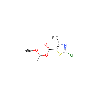 CCCCOC(C)OC(=O)c1sc(Cl)nc1C(F)(F)F